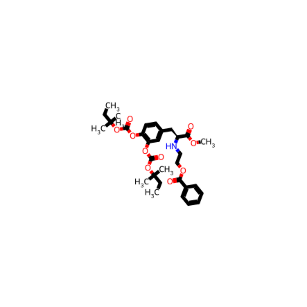 CCC(C)(C)OC(=O)Oc1ccc(C[C@H](NCCOC(=O)c2ccccc2)C(=O)OC)cc1OC(=O)OC(C)(C)CC